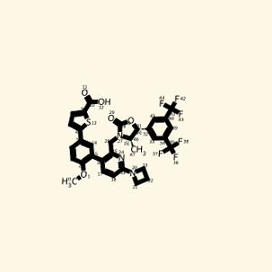 COc1ccc(-c2ccc(C(=O)O)s2)cc1-c1ccc(N2CCC2)nc1CN1C(=O)O[C@H](c2cc(C(F)(F)F)cc(C(F)(F)F)c2)[C@@H]1C